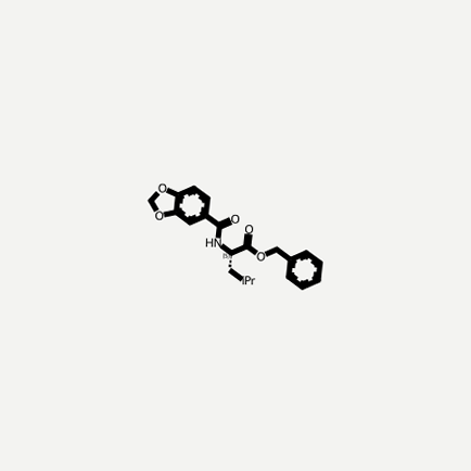 CC(C)C[C@H](NC(=O)c1ccc2c(c1)OCO2)C(=O)OCc1ccccc1